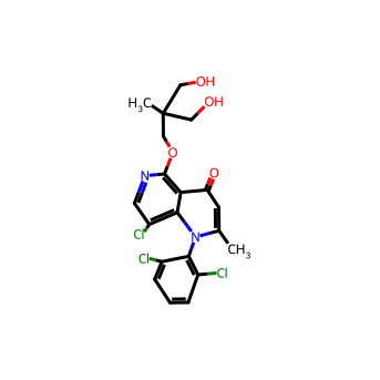 Cc1cc(=O)c2c(OCC(C)(CO)CO)ncc(Cl)c2n1-c1c(Cl)cccc1Cl